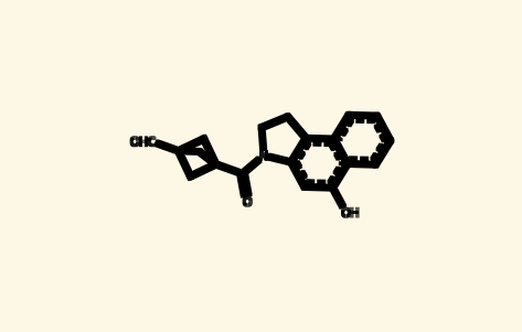 O=CC12CC(C(=O)N3CCc4c3cc(O)c3ccccc43)(C1)C2